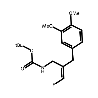 COc1ccc(CC(=CF)CNC(=O)OC(C)(C)C)cc1OC